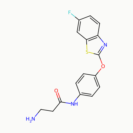 NCCC(=O)Nc1ccc(Oc2nc3ccc(F)cc3s2)cc1